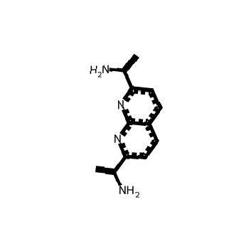 C=C(N)c1ccc2ccc(C(=C)N)nc2n1